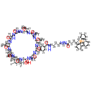 CC=CCC(C)C(O)C1C(=O)NC(CC)C(=O)N(C)C(Cc2ccc(C(=O)NCCCCCCNC(=O)CCCCC[P+](c3ccccc3)(c3ccccc3)c3ccccc3)cc2)C(=O)N(C)C(CC(C)C)C(=O)NC(C(C)C)C(=O)N(C)C(CC(C)C)C(=O)NC(C)C(=O)NC(C)C(=O)N(C)C(CC(C)C)C(=O)N(C)C(CC(C)C)C(=O)N(C)C(C(C)C)C(=O)N1C